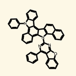 c1ccc(-c2nc(-n3c4c5ccccc5ccc4c4c5c6ccccc6n(-c6ccccc6)c5c5ccccc5c43)nc3oc4ccccc4c23)cc1